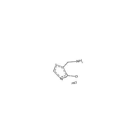 Cl.NCc1scnc1Cl